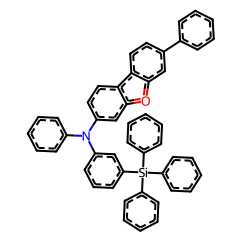 c1ccc(-c2ccc3c(c2)oc2cc(N(c4ccccc4)c4cccc([Si](c5ccccc5)(c5ccccc5)c5ccccc5)c4)ccc23)cc1